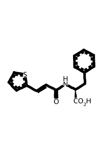 O=C(C=Cc1cccs1)N[C@@H](Cc1ccccc1)C(=O)O